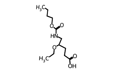 CCCCOC(=O)NCC(CCC(=O)O)OCC